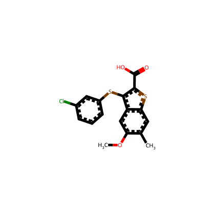 COc1cc2c(Sc3cccc(Cl)c3)c(C(=O)O)sc2cc1C